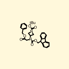 CC(C)(C)OC(=O)N1CC(N(CC(=O)OCc2ccccc2)C(=O)OCC2c3ccccc3-c3ccccc32)C1